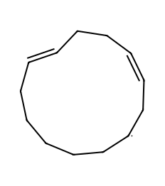 [CH]1C/C=C\CC/C=C/CCCCC1